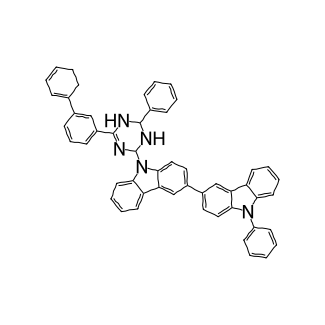 C1=CCCC(c2cccc(C3=NC(n4c5ccccc5c5cc(-c6ccc7c(c6)c6ccccc6n7-c6ccccc6)ccc54)NC(c4ccccc4)N3)c2)=C1